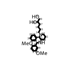 COc1ccc(OC)c(CN[C@@H]2CCCN(CCCCC(O)CO)[C@@H]2c2ccccc2)c1